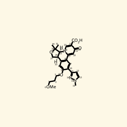 COCCCOc1cc2c(cc1-c1ccn(C)n1)-c1cc(=O)c(C(=O)O)cn1[C@H]1[C@@H]2COC1(C)C